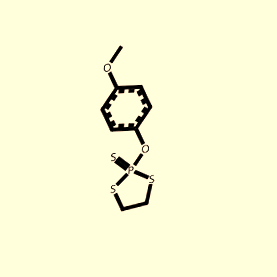 COc1ccc(OP2(=S)SCCS2)cc1